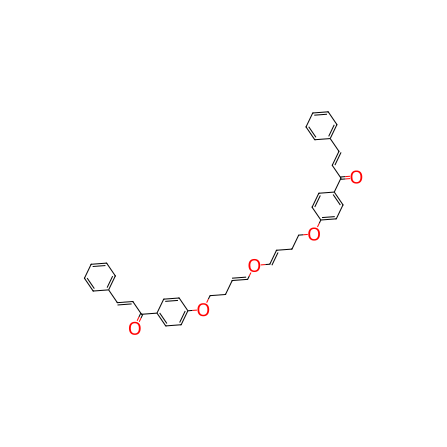 O=C(C=Cc1ccccc1)c1ccc(OCCC=COC=CCCOc2ccc(C(=O)C=Cc3ccccc3)cc2)cc1